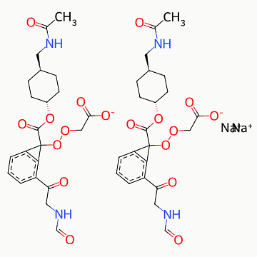 CC(=O)NC[C@H]1CC[C@H](OC(=O)C2(OOCC(=O)[O-])c3cccc(C(=O)CNC=O)c32)CC1.CC(=O)NC[C@H]1CC[C@H](OC(=O)C2(OOCC(=O)[O-])c3cccc(C(=O)CNC=O)c32)CC1.[Na+].[Na+]